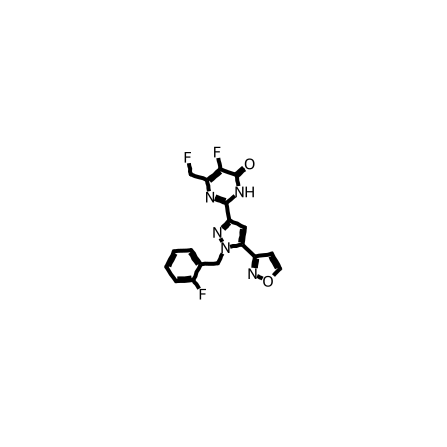 O=c1[nH]c(-c2cc(-c3ccon3)n(Cc3ccccc3F)n2)nc(CF)c1F